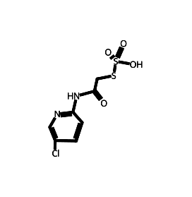 O=C(CSS(=O)(=O)O)Nc1ccc(Cl)cn1